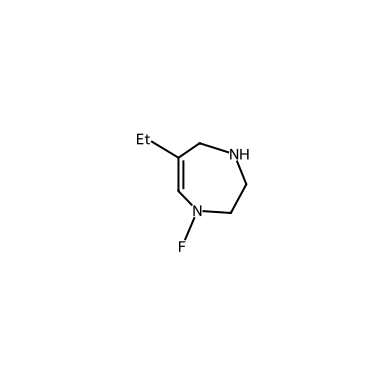 CCC1=CN(F)CCNC1